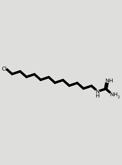 N=C(N)NCCCCCCCCCCCCCl